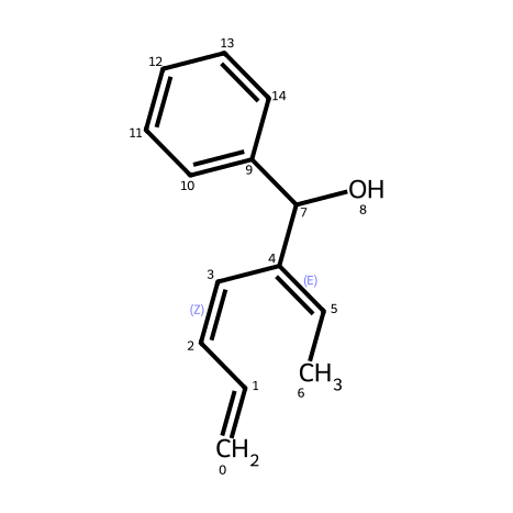 C=C/C=C\C(=C/C)C(O)c1ccccc1